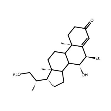 CC[C@@H]1C2=CC(=O)CC[C@]2(C)C2CC[C@@]3(C)C(CC[C@@H]3[C@H](C)COC(C)=O)C2[C@H]1O